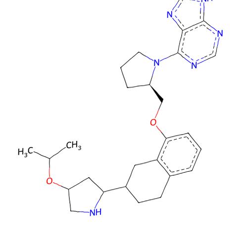 CC(C)OC1CNC(C2CCc3cccc(OC[C@H]4CCCN4c4ncnc5[nH]cnc45)c3C2)C1